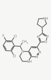 C[C@H](c1c(Cl)ccc(F)c1Cl)N1CCNc2nnc(-c3nc(C4CCNC4)no3)cc21